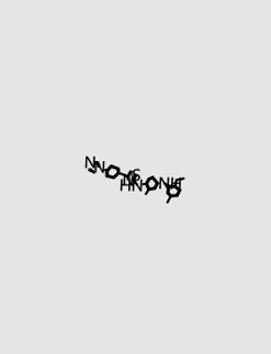 CCc1ccc(C)cc1Nc1ccc(Nc2nc(-c3ccc(-n4ccnc4)cc3)cs2)c(C)c1